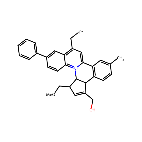 COCC1C=C(CO)C2c3ccc(C)cc3-c3cc(CC(C)C)c4cc(-c5ccccc5)ccc4[n+]3C12